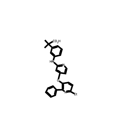 CCc1ccc(Oc2ccnc(Nc3cccc(C(C)(C)C(=O)O)c3)c2)c(-c2ccccc2)n1